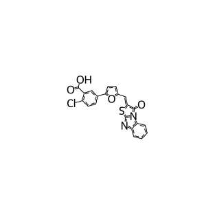 O=C(O)c1cc(-c2ccc(/C=c3\sc4nc5ccccc5n4c3=O)o2)ccc1Cl